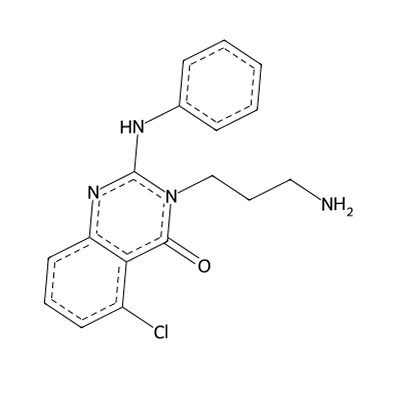 NCCCn1c(Nc2ccccc2)nc2cccc(Cl)c2c1=O